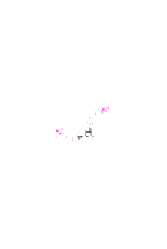 CC(C)(c1ccc(Oc2ccc([N+](=O)[O-])cc2)cc1)c1cccc(C(C)(C)c2ccc(Oc3ccc([N+](=O)[O-])cc3)cc2)c1